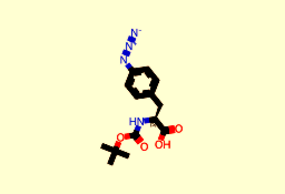 CC(C)(C)OC(=O)N[C@@H](Cc1ccc(N=[N+]=[N-])cc1)C(=O)O